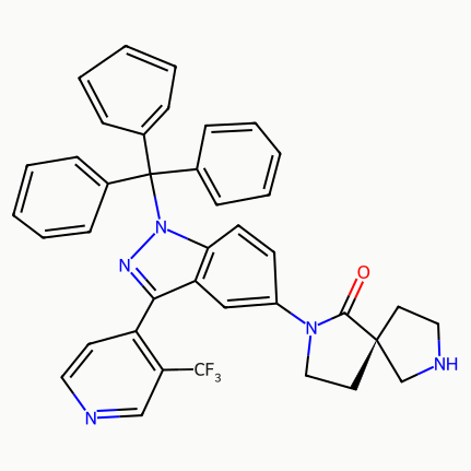 O=C1N(c2ccc3c(c2)c(-c2ccncc2C(F)(F)F)nn3C(c2ccccc2)(c2ccccc2)c2ccccc2)CC[C@]12CCNC2